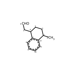 CC1CCC(CC=O)c2ccccc21